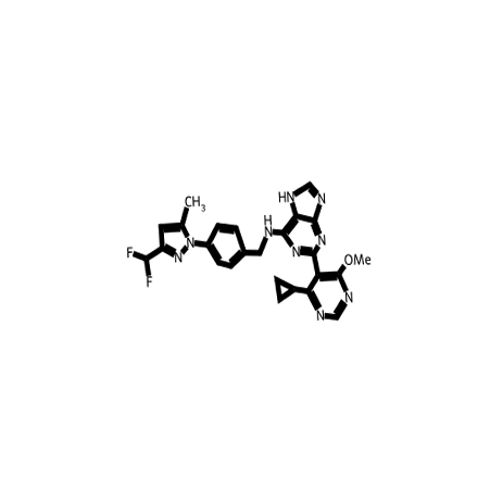 COc1ncnc(C2CC2)c1-c1nc(NCc2ccc(-n3nc(C(F)F)cc3C)cc2)c2[nH]cnc2n1